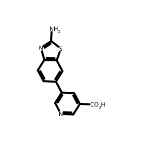 Nc1nc2ccc(-c3cncc(C(=O)O)c3)cc2s1